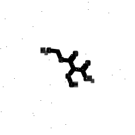 CCOC(=O)C(OO)C(C)=O